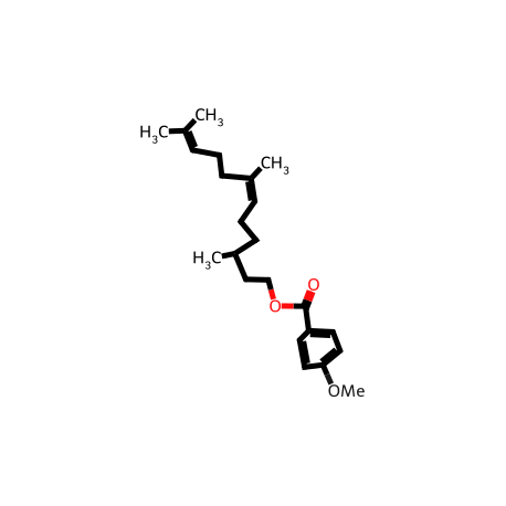 COc1ccc(C(=O)OCCC(C)CCC=C(C)CCC=C(C)C)cc1